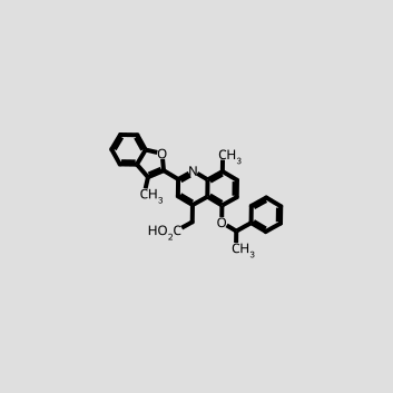 Cc1c(-c2cc(CC(=O)O)c3c(OC(C)c4ccccc4)ccc(C)c3n2)oc2ccccc12